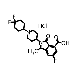 CC1c2cc(F)cc(C(=O)O)c2C(=O)N1C1CCN(C2CCC(F)(F)CC2)CC1.Cl